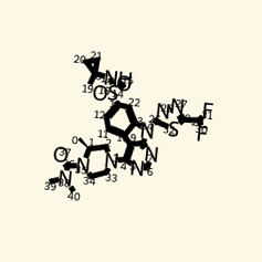 C[C@H]1CN(c2ncnc3c2c2ccc(S(=O)(=O)NC4(C)CC4)cc2n3-c2nnc(C(F)F)s2)CCN1C(=O)N(C)C